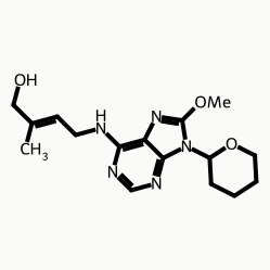 COc1nc2c(NC/C=C(\C)CO)ncnc2n1C1CCCCO1